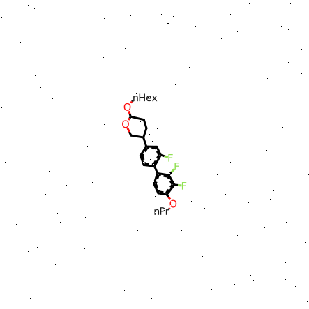 CCCCCCOC1CCC(c2ccc(-c3ccc(OCCC)c(F)c3F)c(F)c2)CO1